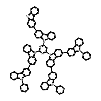 c1ccc(-n2c3ccccc3c3cc(-c4ccc5c(c4)c4cc(-c6ccc7c(c6)c6ccccc6n7-c6ccccc6)ccc4n5-c4cc(-n5c6ccccc6c6cc(-c7ccc8oc9ccccc9c8c7)ccc65)nc(-n5c6ccccc6c6cc(-c7ccc8c(c7)c7ccccc7n8-c7ccccc7)ccc65)n4)ccc32)cc1